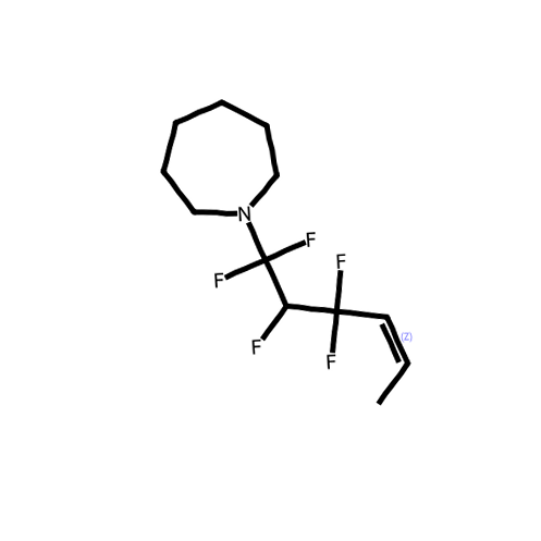 C/C=C\C(F)(F)C(F)C(F)(F)N1CCCCCC1